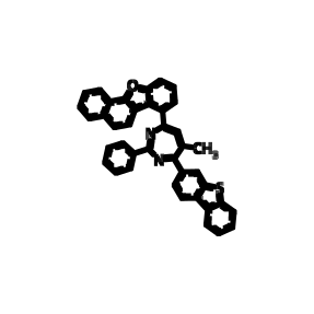 CC1=C=C(c2cccc3oc4c5ccccc5ccc4c23)N=C(c2ccccc2)N=C1c1ccc2c(c1)sc1ccccc12